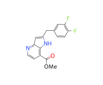 COC(=O)c1ccnc2cc(Cc3ccc(F)c(F)c3)[nH]c12